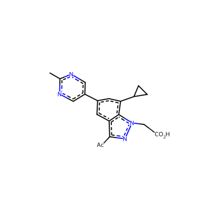 CC(=O)c1nn(CC(=O)O)c2c(C3CC3)cc(-c3cnc(C)nc3)cc12